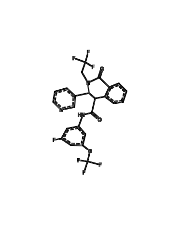 O=C(Nc1cc(F)cc(OC(F)(F)F)c1)C1c2ccccc2C(=O)N(CC(F)(F)F)C1c1cccnc1